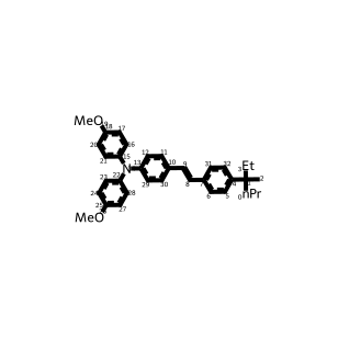 CCCC(C)(CC)c1ccc(/C=C/c2ccc(N(c3ccc(OC)cc3)c3ccc(OC)cc3)cc2)cc1